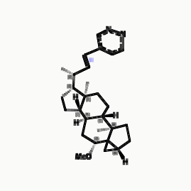 CO[C@@H]1C[C@H]2[C@@H]3CC[C@H]([C@H](C)/C=C/c4ccnnc4)[C@@]3(C)CC[C@@H]2[C@@]2(C)CC[C@@H]3CC312